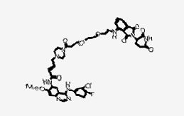 COc1cc2ncnc(Nc3ccc(F)c(Cl)c3)c2cc1NC(=O)/C=C/CN1CCN(C(=O)CCOCCOCCNc2cccc3c2C(=O)N(C2CCC(=O)NC2=O)C3=O)CC1